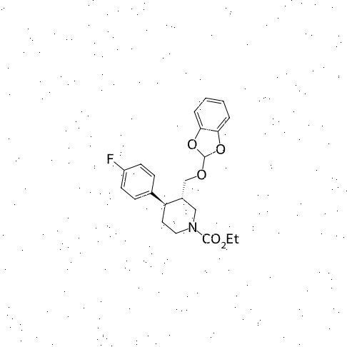 CCOC(=O)N1CC[C@@H](c2ccc(F)cc2)[C@H](COC2Oc3ccccc3O2)C1